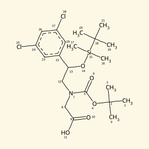 CC(C)(C)OC(=O)N(CC(=O)O)CC(O[Si](C)(C)C(C)(C)C)c1cc(Cl)cc(Cl)c1